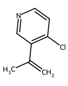 C=C(C)c1cnccc1Cl